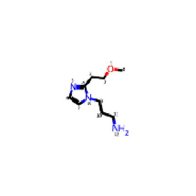 COCCc1nccn1CCCN